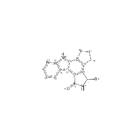 O=C1NC(=O)c2c1c1c(c3[nH]c4ncccc4c23)CCC1